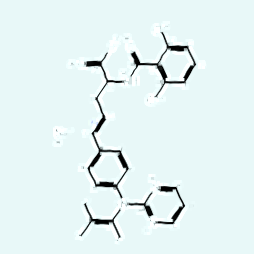 CC(C)=C(C)N(c1ccc(/C=C/CC(NC(=O)c2c(Cl)cccc2Cl)C(=O)[O-])cc1)c1ncccn1.[Na+]